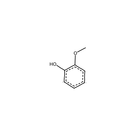 COc1c[c]c[c]c1O